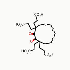 O=C(O)CCC1(CCC(=O)O)CCCCCCCCC(CCC(=O)O)(CCC(=O)O)C(=O)C1=O